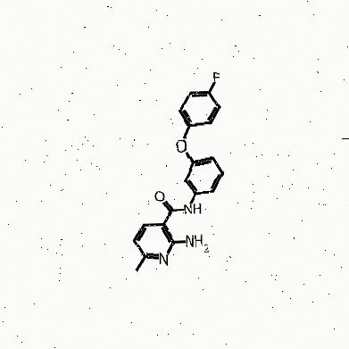 Cc1ccc(C(=O)Nc2cccc(Oc3ccc(F)cc3)c2)c(N)n1